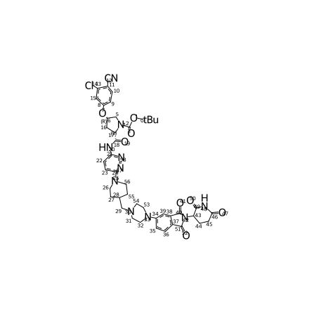 CC(C)(C)OC(=O)N1C[C@H](Oc2ccc(C#N)c(Cl)c2)C[C@H]1C(=O)Nc1ccc(N2CCC(CN3CCN(c4ccc5c(c4)C(=O)N(C4CCC(=O)NC4=O)C5=O)CC3)CC2)nn1